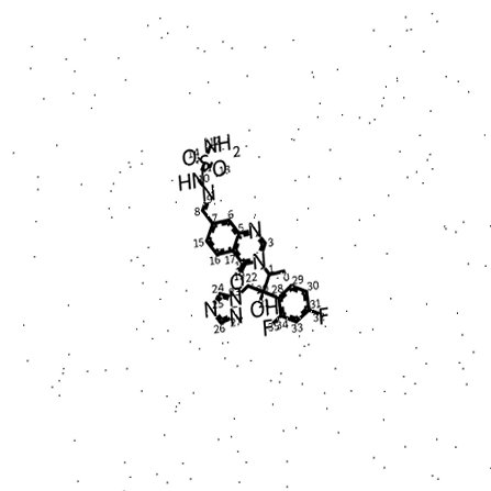 CC(n1cnc2cc(C=NNS(N)(=O)=O)ccc2c1=O)C(O)(Cn1cncn1)c1ccc(F)cc1F